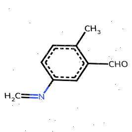 C=Nc1ccc(C)c(C=O)c1